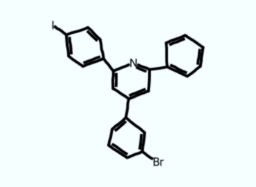 Brc1cccc(-c2cc(-c3ccccc3)nc(-c3ccc(I)cc3)c2)c1